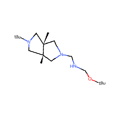 CC(C)(C)OCNCN1C[C@@]2(C)CN(C(C)(C)C)C[C@@]2(C)C1